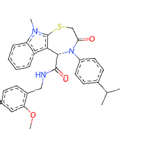 COc1ccccc1CNC(=O)C1c2c(n(C)c3ccccc23)SCC(=O)N1c1ccc(C(C)C)cc1